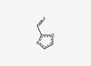 S=Cc1ncco1